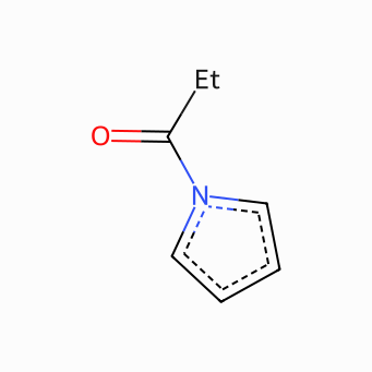 [CH2]CC(=O)n1cccc1